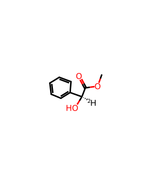 [2H][C@@](O)(C(=O)OC)c1ccccc1